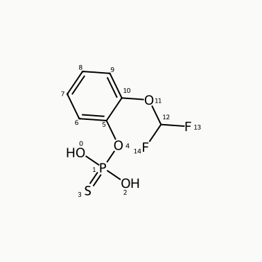 OP(O)(=S)Oc1ccccc1OC(F)F